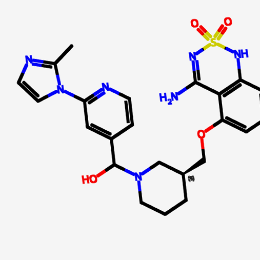 Cc1nccn1-c1cc(C(O)N2CCC[C@H](COc3cccc4c3C(N)=NS(=O)(=O)N4)C2)ccn1